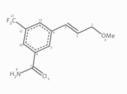 COCC=Cc1cc(C(N)=O)cc(C(F)(F)F)c1